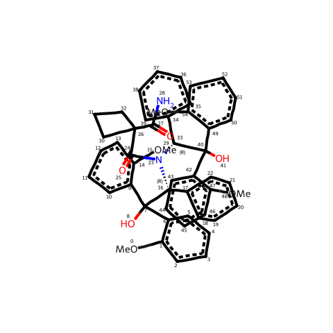 COc1ccccc1C(O)(c1ccccc1OC)[C@@H](c1ccccc1)N(C(=O)C1(C(N)=O)CCC1)[C@H](c1ccccc1)C(O)(c1ccccc1OC)c1ccccc1OC